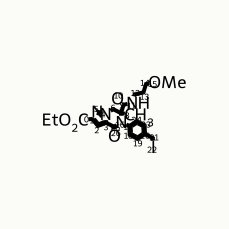 CCOC(=O)c1cc2n(n1)CC(C)(C(=O)NCCCOC)N(c1ccc(CI)cc1)C2=O